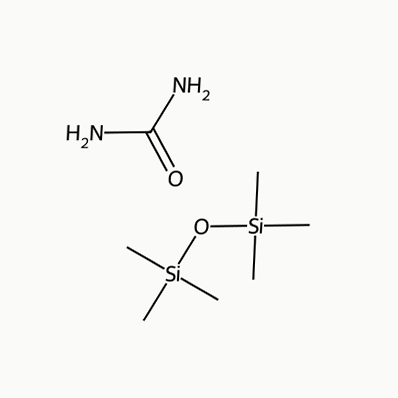 C[Si](C)(C)O[Si](C)(C)C.NC(N)=O